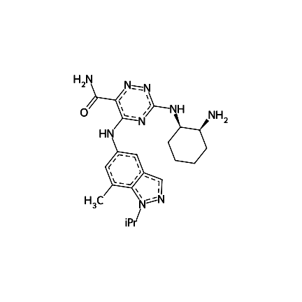 Cc1cc(Nc2nc(N[C@@H]3CCCC[C@@H]3N)nnc2C(N)=O)cc2cnn(C(C)C)c12